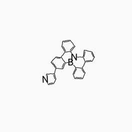 c1cncc(-c2ccc3c(c2)B2c4ccccc4-c4ccccc4N2c2ccccc2-3)c1